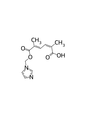 CC(=CC=C(C)C(=O)OCn1ccnc1)C(=O)O